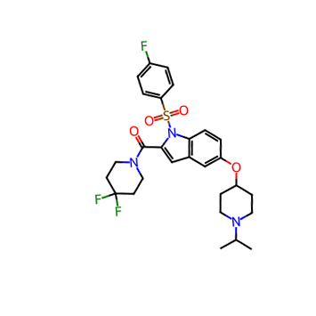 CC(C)N1CCC(Oc2ccc3c(c2)cc(C(=O)N2CCC(F)(F)CC2)n3S(=O)(=O)c2ccc(F)cc2)CC1